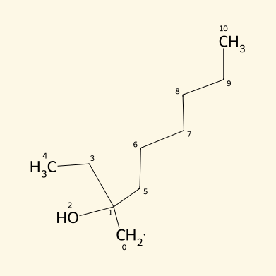 [CH2]C(O)(CC)CCCCCC